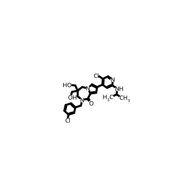 CC(C)Nc1cc(-c2cc3n(c2)CC(CO)(CO)CN(Cc2cccc(Cl)c2)C3=O)c(Cl)cn1